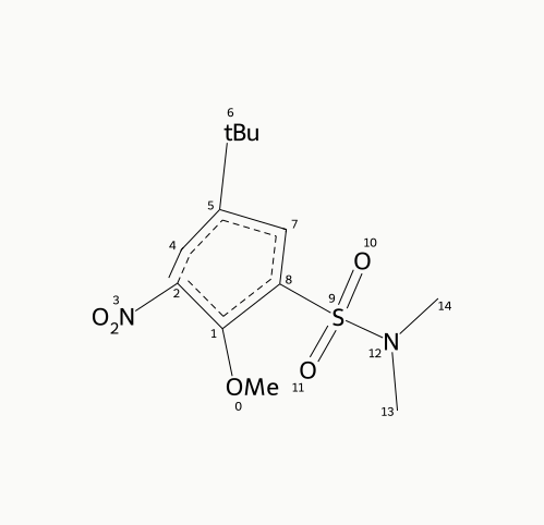 COc1c([N+](=O)[O-])cc(C(C)(C)C)cc1S(=O)(=O)N(C)C